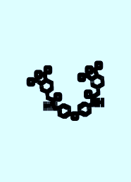 O=C(CC1CCC2C(=O)OC(=O)C2C1)Nc1ccc(Oc2ccc(NC(=O)CC3CCC4C(=O)OC(=O)C4C3)cc2)cc1